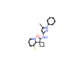 Cc1cc(NC(=O)C2(c3ncccc3F)CCC2)nn1-c1ccccc1